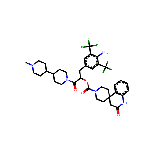 CN1CCC(C2CCN(C(=O)[C@@H](Cc3cc(C(F)(F)F)c(N)c(C(F)(F)F)c3)OC(=O)N3CCC4(CC3)CC(=O)Nc3ccccc34)CC2)CC1